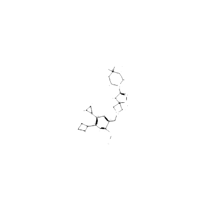 CCOC(=O)C1(C)CCN(C2=NOC3(C2)CN(Cc2cc(C4CC4)c(C4CCC4)cc2OC(C)C)C3)CC1